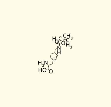 CC(C)(C)OC(=O)NCC1C=CC(C[C@@H](N)C(=O)O)=CC1